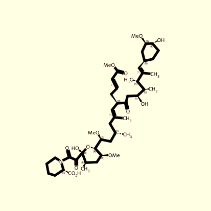 COC(=O)/C=C/C[C@H](/C=C(\C)C[C@H](C)C[C@H](OC)[C@H]1O[C@@](O)(C(=O)C(=O)N2CCCC[C@H]2C(=O)O)[C@H](C)C[C@@H]1OC)C(=O)C[C@H](O)[C@@H](C)[C@H](C)/C(C)=C/[C@@H]1CC[C@@H](O)[C@H](OC)C1